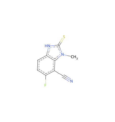 Cn1c(=S)[nH]c2ccc(F)c(C#N)c21